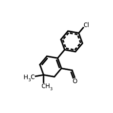 CC1(C)C=CC(c2ccc(Cl)cc2)=C(C=O)C1